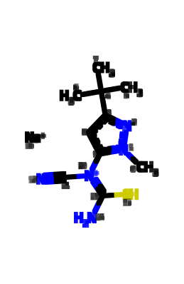 Cn1nc(C(C)(C)C)cc1[N+](C#N)=C(N)S.[Na+]